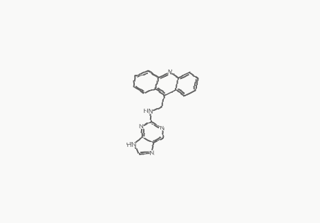 c1ccc2c(CNc3ncc4nc[nH]c4n3)c3ccccc3nc2c1